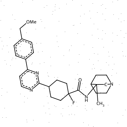 COCc1ccc(-c2ccnc(C3CCC(F)(C(=O)NC4(C)CN5CCC4CC5)CC3)n2)cc1